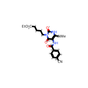 CCOC(=O)CCCCn1c(=O)[nH]c(NC)c(NC(=O)c2ccc(C#N)cc2)c1=O